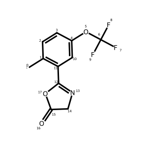 [CH]c1ccc(OC(F)(F)F)cc1C1=NCC(=O)O1